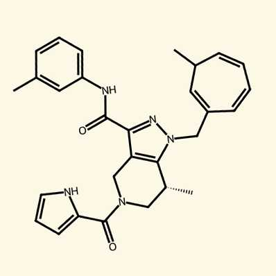 Cc1cccc(NC(=O)c2nn(CC3=CC(C)C=CC=C3)c3c2CN(C(=O)c2ccc[nH]2)C[C@H]3C)c1